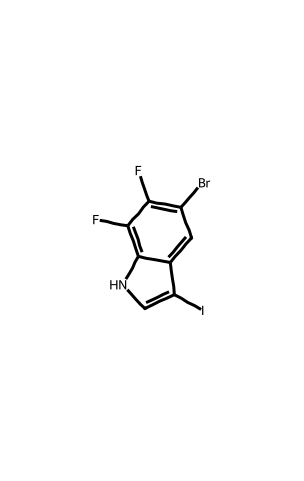 Fc1c(Br)cc2c(I)c[nH]c2c1F